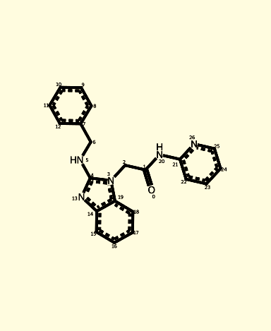 O=C(Cn1c(NCc2ccccc2)nc2ccccc21)Nc1ccccn1